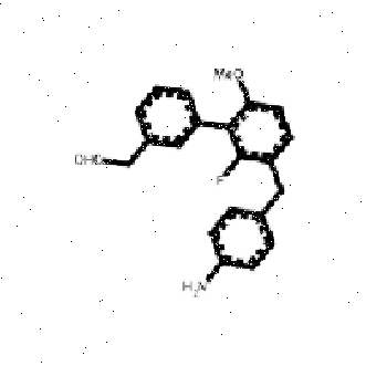 COc1ccc(Cc2ccc(N)cc2)c(F)c1-c1cccc(CC=O)c1